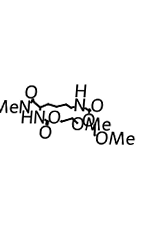 CNC(=O)C(CCCCNC(=O)OCCOC)NC(=O)OCCOC